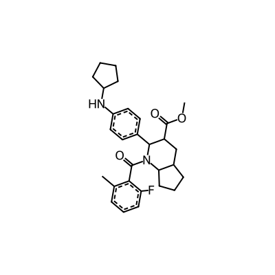 COC(=O)C1CC2CCCC2N(C(=O)c2c(C)cccc2F)C1c1ccc(NC2CCCC2)cc1